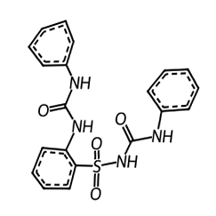 O=C(Nc1ccccc1)Nc1ccccc1S(=O)(=O)NC(=O)Nc1ccccc1